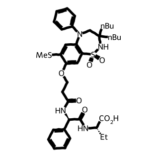 CCCCC1(CCCC)CN(c2ccccc2)c2cc(SC)c(OCCC(=O)N[C@@H](C(=O)N[C@@H](CC)C(=O)O)c3ccccc3)cc2S(=O)(=O)N1